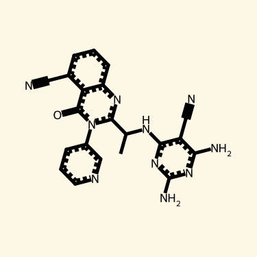 CC(Nc1nc(N)nc(N)c1C#N)c1nc2cccc(C#N)c2c(=O)n1-c1cccnc1